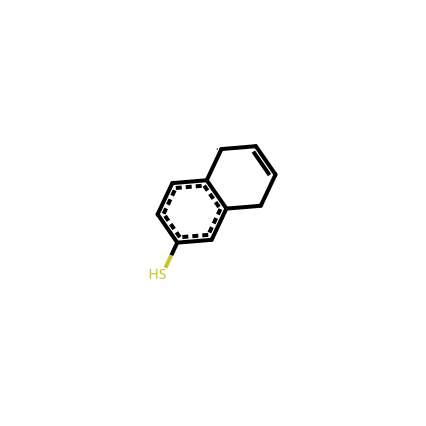 Sc1ccc2c(c1)CC=C[CH]2